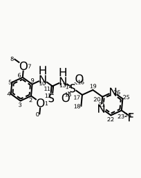 COc1cccc(OC)c1NC(=S)NS(=O)(=O)C(C)Cc1ncc(F)cn1